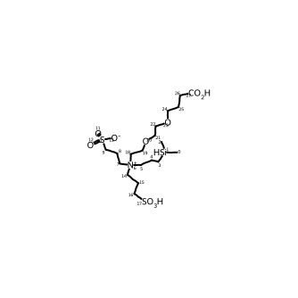 C[SiH](C)CCC[N+](CCCS(=O)(=O)[O-])(CCCS(=O)(=O)O)CCOCCOCCCC(=O)O